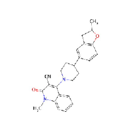 CC1Cc2cc(C3CCN(c4c(C#N)c(=O)n(C)c5ccccc45)CC3)ccc2O1